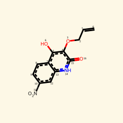 C=CCOc1c(O)c2ccc([N+](=O)[O-])cc2[nH]c1=O